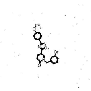 O=c1ccc(-c2nc(-c3ccc(OC(F)(F)F)cc3)no2)cn1Cc1cccc(Br)c1